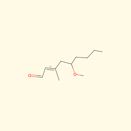 CCCCC(C/C(C)=C/C=O)OC